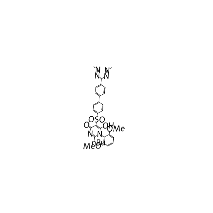 CCCCc1nc(=O)c(S(=O)(=O)c2ccc(-c3ccc(C(N=NC)N=NC)cc3)cc2)c(O)n1-c1c(OC)cccc1OC